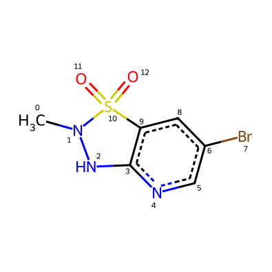 CN1Nc2ncc(Br)cc2S1(=O)=O